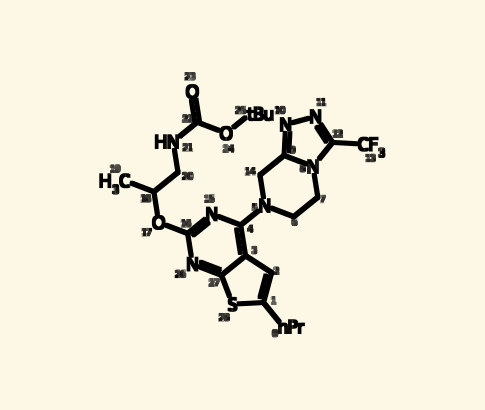 CCCc1cc2c(N3CCn4c(nnc4C(F)(F)F)C3)nc(OC(C)CNC(=O)OC(C)(C)C)nc2s1